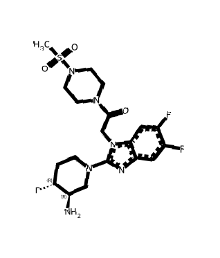 CS(=O)(=O)N1CCN(C(=O)Cn2c(N3CC[C@@H](F)[C@H](N)C3)nc3cc(F)c(F)cc32)CC1